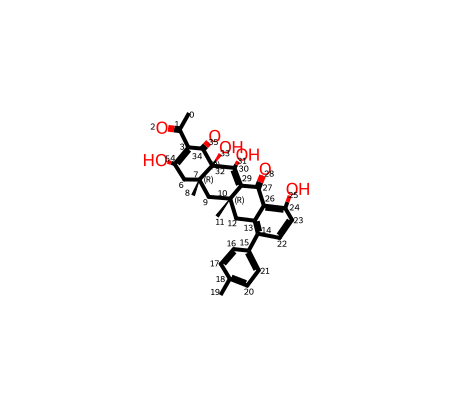 CC(=O)C1=C(O)C[C@@]2(C)C[C@@]3(C)Cc4c(-c5ccc(C)cc5)ccc(O)c4C(=O)C3=C(O)[C@@]2(O)C1=O